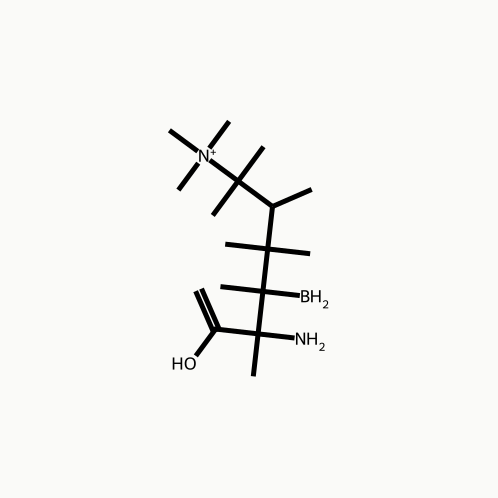 BC(C)(C(C)(N)C(=C)O)C(C)(C)C(C)C(C)(C)[N+](C)(C)C